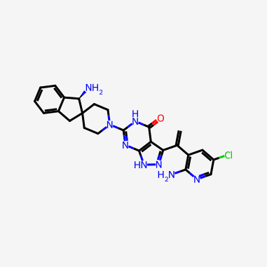 C=C(c1cc(Cl)cnc1N)c1n[nH]c2nc(N3CCC4(CC3)Cc3ccccc3[C@H]4N)[nH]c(=O)c12